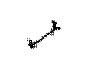 COc1cc2c(cc1-c1c(C)noc1C)ncc1c2n([C@H](C)c2ccccn2)c(=O)n1CC(=O)NOCCOCCOCCOCCOCCOCCOCCNC(=O)C[C@@H]1N=C(c2ccc(Cl)cc2)c2c(sc(C)c2C)-n2c(C)nnc21